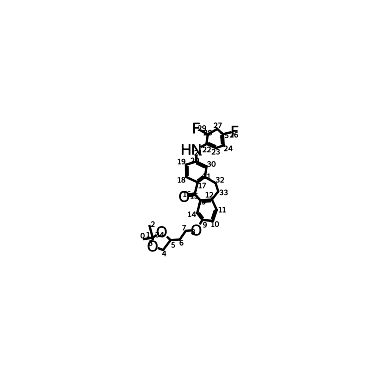 CC1(C)OCC(CCOc2ccc3c(c2)C(=O)c2ccc(NC4=CC=C(F)CC4F)cc2CC3)O1